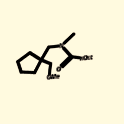 CCCCCCCCC(=O)N(C)CC1(COC)CCCC1